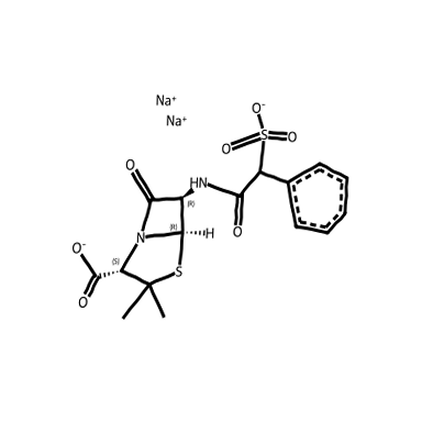 CC1(C)S[C@@H]2[C@H](NC(=O)C(c3ccccc3)S(=O)(=O)[O-])C(=O)N2[C@H]1C(=O)[O-].[Na+].[Na+]